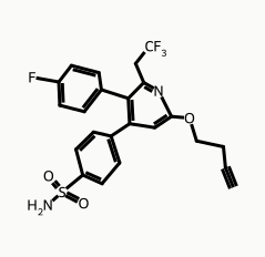 C#CCCOc1cc(-c2ccc(S(N)(=O)=O)cc2)c(-c2ccc(F)cc2)c(CC(F)(F)F)n1